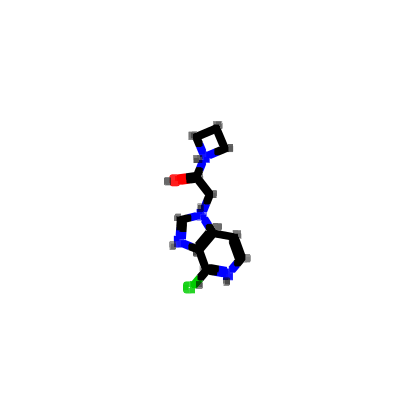 O=C(Cn1cnc2c(Cl)nccc21)N1CCC1